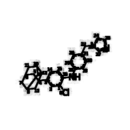 Clc1cc(C23CC4CC(CC(C4)C2)C3)ccc1Nc1ccc(Cn2ccnc2)cc1